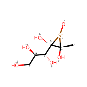 C[C@]1(O)[S+]([O-])[C@]1(O)[C@H](O)[C@H](O)CO